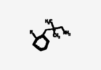 C[Si](C)(CN)Cc1ccccc1F